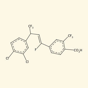 O=C(O)c1ccc(C(F)=CC(c2ccc(Cl)c(Cl)c2)C(F)(F)F)cc1C(F)(F)F